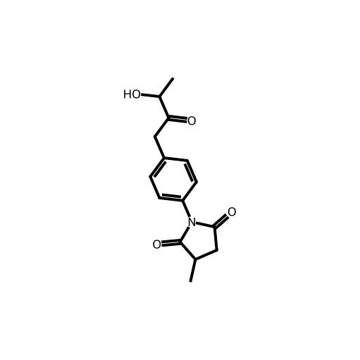 CC(O)C(=O)Cc1ccc(N2C(=O)CC(C)C2=O)cc1